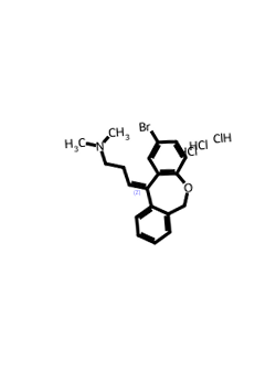 CN(C)CC/C=C1/c2ccccc2COc2ccc(Br)cc21.Cl.Cl.Cl